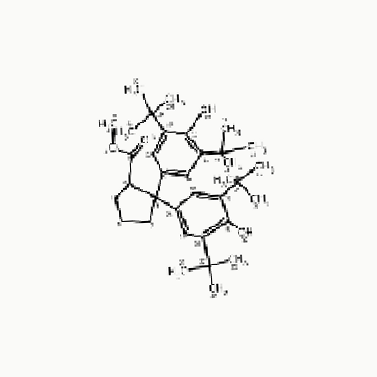 COC(=O)C1CCCC1(c1cc(C(C)(C)C)c(O)c(C(C)(C)C)c1)c1cc(C(C)(C)C)c(O)c(C(C)(C)C)c1